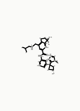 CC(C)CNCc1cc(C(=O)Nc2cncc([C@]3(c4nncn4C)C[C@@H](C)C3)c2)nc2c1CCC2(F)F